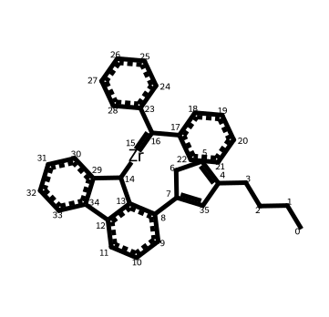 CCCCC1=CCC(c2cccc3c2[CH]([Zr]=[C](c2ccccc2)c2ccccc2)c2ccccc2-3)=C1